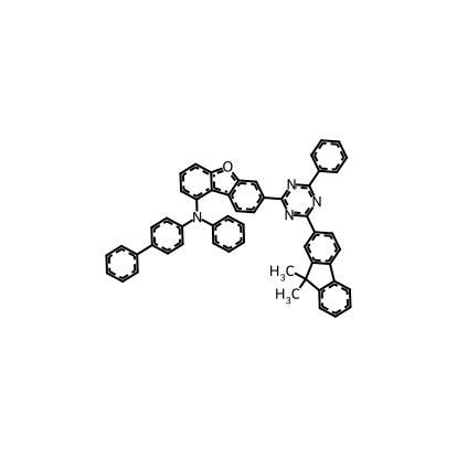 CC1(C)c2ccccc2-c2ccc(-c3nc(-c4ccccc4)nc(-c4ccc5c(c4)oc4cccc(N(c6ccccc6)c6ccc(-c7ccccc7)cc6)c45)n3)cc21